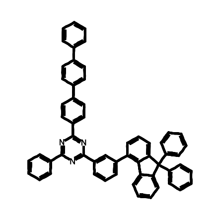 c1ccc(-c2ccc(-c3ccc(-c4nc(-c5ccccc5)nc(-c5cccc(-c6cccc7c6-c6ccccc6C7(c6ccccc6)c6ccccc6)c5)n4)cc3)cc2)cc1